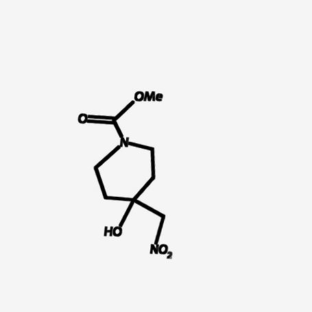 COC(=O)N1CCC(O)(C[N+](=O)[O-])CC1